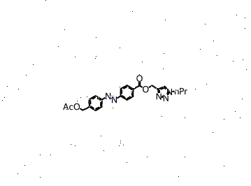 CCCn1cc(COC(=O)c2ccc(/N=N/c3ccc(COC(C)=O)cc3)cc2)nn1